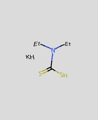 CCN(CC)C(=S)S.[KH]